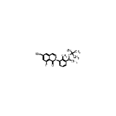 CB(OC(C)(C)C(C)(C)C)c1cccc(-n2ncc3cc(C(C)(C)C)cc(F)c3c2=O)c1C